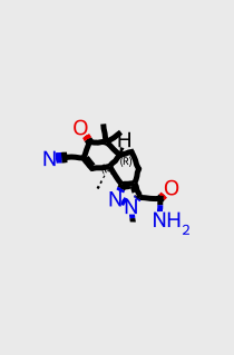 Cn1nc2c(c1C(N)=O)CC[C@H]1C(C)(C)C(=O)C(C#N)=C[C@]21C